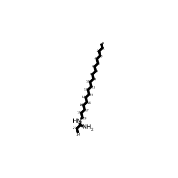 CCCCCCCCCCCCCCCCCCCCNC(N)CC